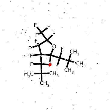 CC(C)(C)C(F)(F)C1(F)OC(F)(C(F)(F)F)C(F)(F)C1(F)C(F)(F)C(C)(C)C